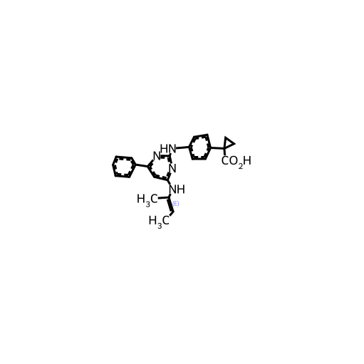 C/C=C(\C)Nc1cc(-c2ccccc2)nc(Nc2ccc(C3(C(=O)O)CC3)cc2)n1